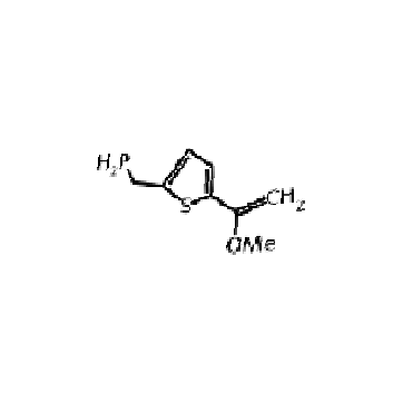 C=C(OC)c1ccc(CP)s1